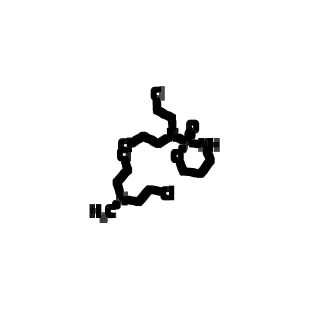 CN(CCCl)CCCl.O=P1(N(CCCl)CCCl)NCCCO1